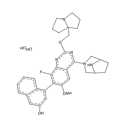 COc1cc2c(N3CC4CCC(C3)N4)nc(OCC34CCCN3CCC4)nc2c(F)c1-c1cc(O)cc2ccccc12.Cl.Cl